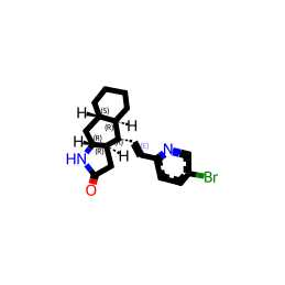 O=C1C[C@@H]2[C@@H](/C=C/c3ccc(Br)cn3)[C@@H]3CCCC[C@H]3C[C@H]2N1